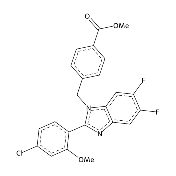 COC(=O)c1ccc(Cn2c(-c3ccc(Cl)cc3OC)nc3cc(F)c(F)cc32)cc1